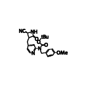 COc1ccc(CN(C(=O)OC(C)(C)C)c2cc(CC3C(=O)N[C@@H]3C#N)ccn2)cc1